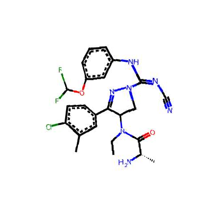 CCN(C(=O)[C@H](C)N)C1CN(/C(=N\C#N)Nc2cccc(OC(F)F)c2)N=C1c1ccc(Cl)c(C)c1